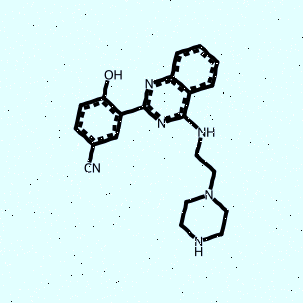 N#Cc1ccc(O)c(-c2nc(NCCN3CCNCC3)c3ccccc3n2)c1